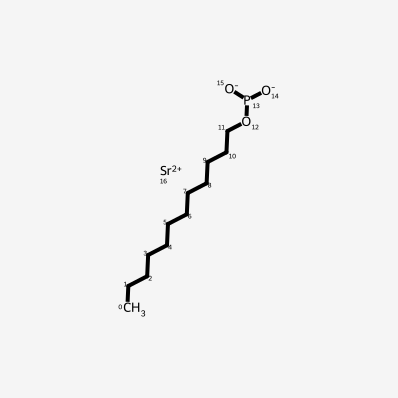 CCCCCCCCCCCCOP([O-])[O-].[Sr+2]